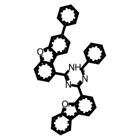 N/C(=N\C(=N/Cc1ccccc1)c1cccc2c1oc1ccccc12)c1cccc2oc3cc(-c4ccccc4)ccc3c12